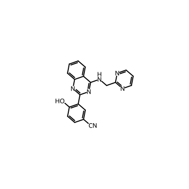 N#Cc1ccc(O)c(-c2nc(NCc3ncccn3)c3ccccc3n2)c1